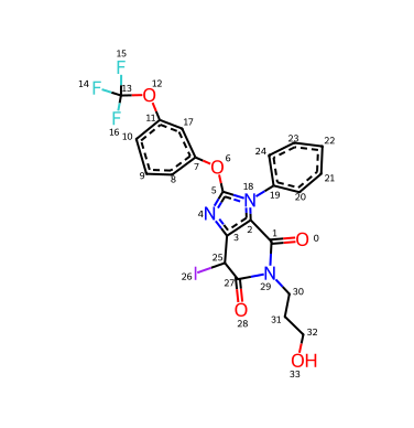 O=C1c2c(nc(Oc3cccc(OC(F)(F)F)c3)n2-c2ccccc2)C(I)C(=O)N1CCCO